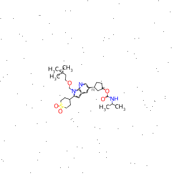 CC(C)NC(=O)O[C@@H]1CC[C@H](c2cnc3c(c2)cc(C2CCS(=O)(=O)CC2)n3COCC[Si](C)(C)C)C1